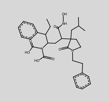 CCC(c1ccccc1)C(CC(C(=O)NO)C1(CC(C)C)CCN(CCc2ccccc2)C1=O)N(C(=O)O)C(=O)O